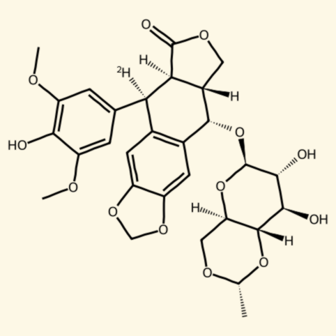 [2H][C@@]1(c2cc(OC)c(O)c(OC)c2)c2cc3c(cc2[C@@H](O[C@@H]2O[C@@H]4CO[C@@H](C)O[C@H]4[C@H](O)[C@H]2O)[C@H]2COC(=O)[C@@H]21)OCO3